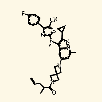 C=CCC(C)C(=O)N1CC2(C1)CN(c1cc(C)n3nc(C4CC4)c(N(C)c4nc(-c5ccc(F)cc5)c(C#N)s4)c3c1)C2